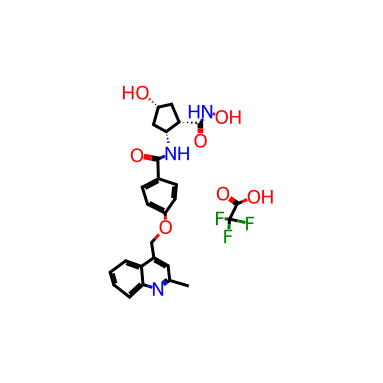 Cc1cc(COc2ccc(C(=O)N[C@@H]3C[C@H](O)C[C@@H]3C(=O)NO)cc2)c2ccccc2n1.O=C(O)C(F)(F)F